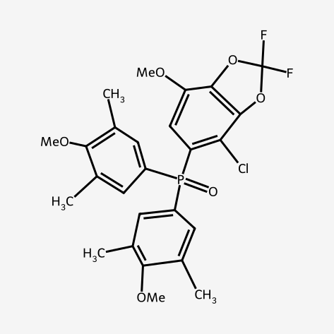 COc1cc(P(=O)(c2cc(C)c(OC)c(C)c2)c2cc(C)c(OC)c(C)c2)c(Cl)c2c1OC(F)(F)O2